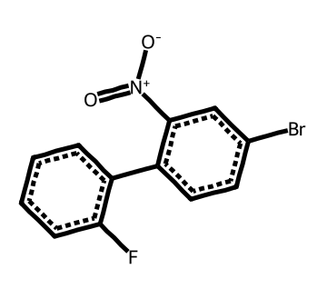 O=[N+]([O-])c1cc(Br)ccc1-c1ccccc1F